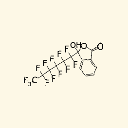 O=C1OC(O)(C(F)(F)C(F)(F)C(F)(F)C(F)(F)C(F)(F)C(F)(F)F)c2ccccc21